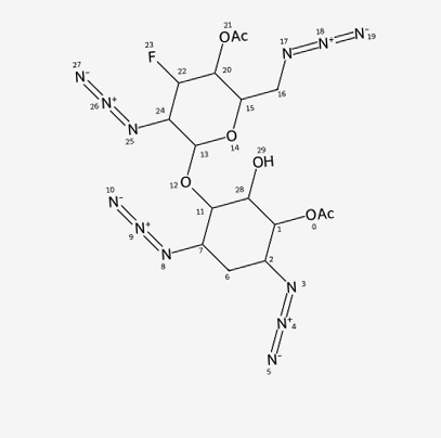 CC(=O)OC1C(N=[N+]=[N-])CC(N=[N+]=[N-])C(OC2OC(CN=[N+]=[N-])C(OC(C)=O)C(F)C2N=[N+]=[N-])C1O